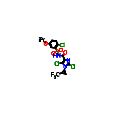 CC(C)Oc1ccc(Cl)c(S(=O)(=O)NC(=O)c2nc(Cl)n(C3CC3C(F)(F)F)c2Cl)c1